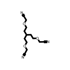 N#CCOCCC(CCOCC#N)CCOCC#N